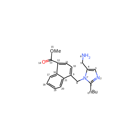 CCCCc1ncc(CN)n1Cc1ccc(C(=O)OC)c2ccccc12